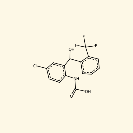 O=C(O)Nc1ccc(Cl)cc1C(O)c1ccccc1C(F)(F)F